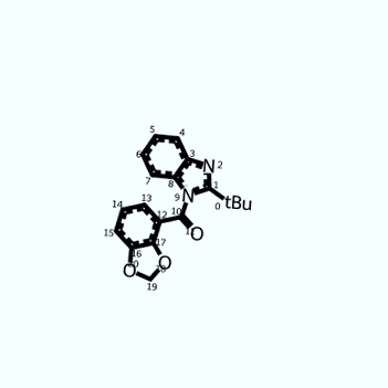 CC(C)(C)c1nc2ccccc2n1C(=O)c1cccc2c1OCO2